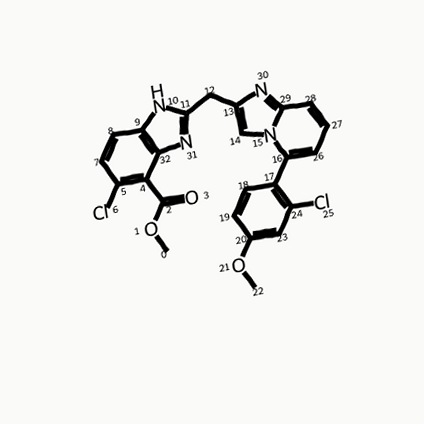 COC(=O)c1c(Cl)ccc2[nH]c(Cc3cn4c(-c5ccc(OC)cc5Cl)cccc4n3)nc12